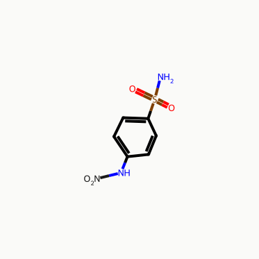 NS(=O)(=O)c1ccc(N[N+](=O)[O-])cc1